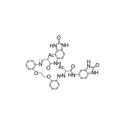 CC(=O)C(/C=N/c1ccccc1OCCOc1ccccc1/N=N/C(C(C)=O)C(=O)Nc1ccc2[nH]c(=O)[nH]c2c1)C(=O)Nc1ccc2[nH]c(=O)[nH]c2c1